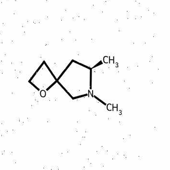 C[C@@H]1CC2(CCO2)CN1C